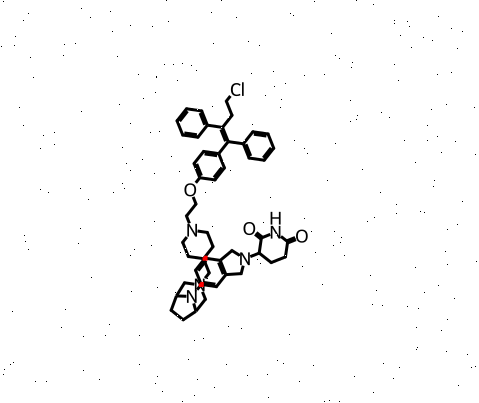 O=C1CCC(N2Cc3ccc(N4C5CCC4CN(CC4CCN(CCOc6ccc(C(=C(CCCl)c7ccccc7)c7ccccc7)cc6)CC4)C5)cc3C2)C(=O)N1